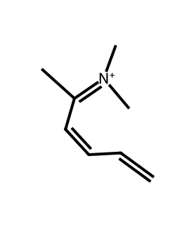 C=C/C=C\C(C)=[N+](C)C